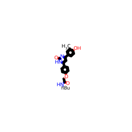 CCCCNC(=O)COc1ccc(-c2cc(-c3ccc(O)c(C)c3)nc(=O)[nH]2)cc1